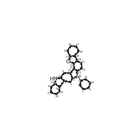 c1ccc(-n2c3cc4c(cc3c3c5oc6ccccc6c5ccc32)[nH]c2ccccc24)cc1